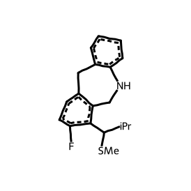 CSC(c1c(F)ccc2c1CNc1ccccc1C2)C(C)C